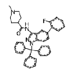 CN1CCC(C(=O)Nc2nn(C(c3ccccc3)(c3ccccc3)c3ccccc3)c3ccc(-c4ccccc4F)cc23)CC1